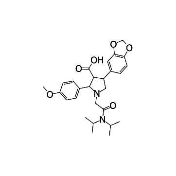 COc1ccc(C2C(C(=O)O)C(c3ccc4c(c3)OCO4)CN2CC(=O)N(C(C)C)C(C)C)cc1